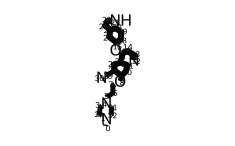 CN1CCN(CCCOc2cc3nccc(Oc4ccc5[nH]ccc5c4)c3cc2C#N)CC1